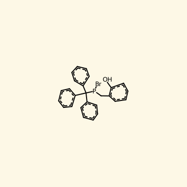 Oc1ccccc1CP(Br)C(c1ccccc1)(c1ccccc1)c1ccccc1